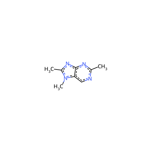 Cc1ncc2c(n1)nc(C)n2C